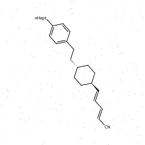 CCCCCCCc1ccc(CC[C@H]2CC[C@H](/C=C/C=C/C#N)CC2)cc1